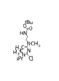 C=C(/N=C(/Cl)N(C)C(C)C)N(C)CCNC(=O)OC(C)(C)C